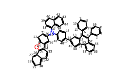 c1ccc(-c2c(-c3ccccc3)c3cc(-c4ccc(N(c5ccc6oc7c8ccccc8ccc7c6c5)c5cccc6ccccc56)cc4)ccc3c3ccccc23)cc1